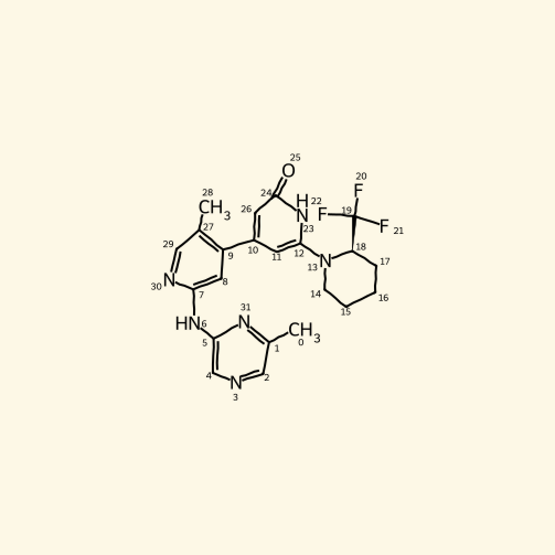 Cc1cncc(Nc2cc(-c3cc(N4CCCC[C@@H]4C(F)(F)F)[nH]c(=O)c3)c(C)cn2)n1